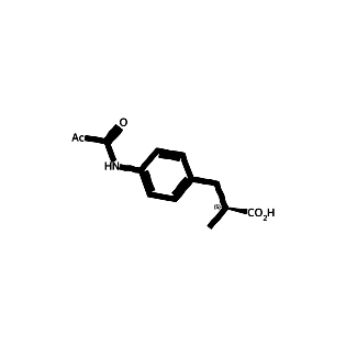 CC(=O)C(=O)Nc1ccc(C[C@H](C)C(=O)O)cc1